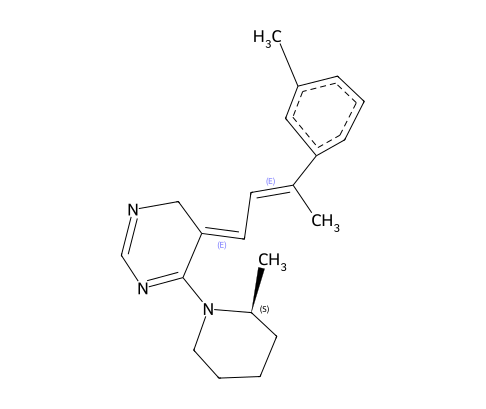 C/C(=C\C=C1/CN=CN=C1N1CCCC[C@@H]1C)c1cccc(C)c1